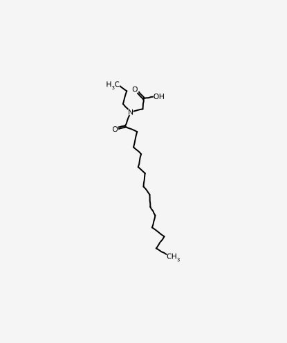 CCCCCCCCCCCCCC(=O)N(CCC)CC(=O)O